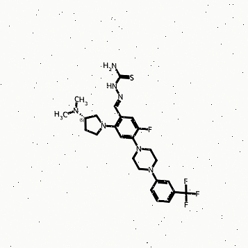 CN(C)[C@H]1CCN(c2cc(N3CCN(c4cccc(C(F)(F)F)c4)CC3)c(F)cc2C=NNC(N)=S)C1